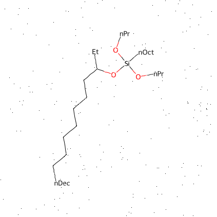 CCCCCCCCCCCCCCCCCC(CC)O[Si](CCCCCCCC)(OCCC)OCCC